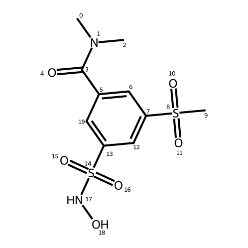 CN(C)C(=O)c1cc(S(C)(=O)=O)cc(S(=O)(=O)NO)c1